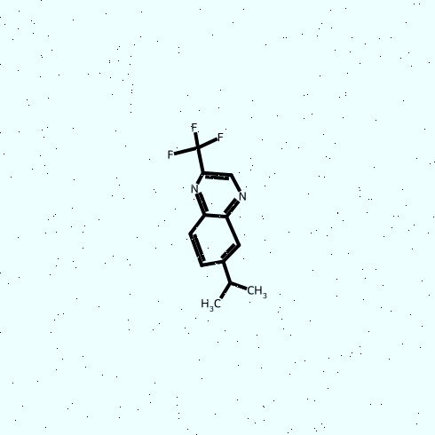 CC(C)c1ccc2nc(C(F)(F)F)cnc2c1